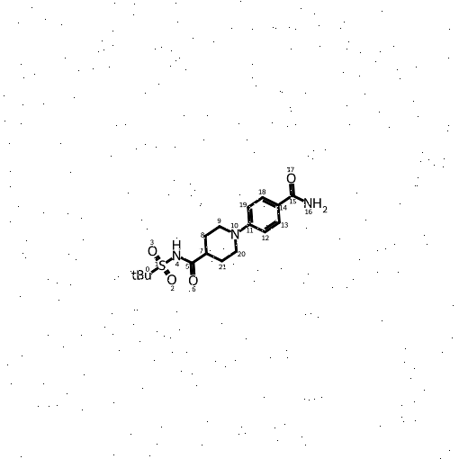 CC(C)(C)S(=O)(=O)NC(=O)C1CCN(c2ccc(C(N)=O)cc2)CC1